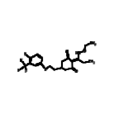 CCONC(CC)=C1C(=O)CC(CCSc2ccc(F)c(C(F)(F)F)c2)CC1=O